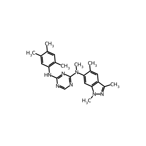 Cc1cc(C)c(Nc2ncnc(N(C)c3cc4c(cc3C)c(C)nn4C)n2)cc1C